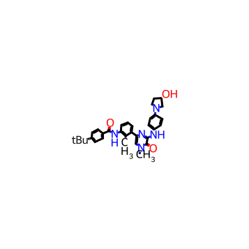 Cc1c(NC(=O)c2ccc(C(C)(C)C)cc2)cccc1-c1cn(C)c(=O)c(Nc2ccc(N3CCC(O)C3)cc2)n1